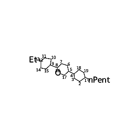 CCCCCC1CCC(C2CCC(C3CCC(CC)CC3)OC2)CC1